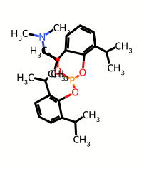 CC(C)c1cccc(C(C)C)c1OP(OCCN(C)C)Oc1c(C(C)C)cccc1C(C)C